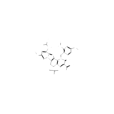 COc1ccc(Cn2c3c(cc(C(=O)O)c2=O)[C@H](C(C)(C)C)Cc2c-3nc3c(OC(F)F)cc(OC)cn23)c(OC)c1